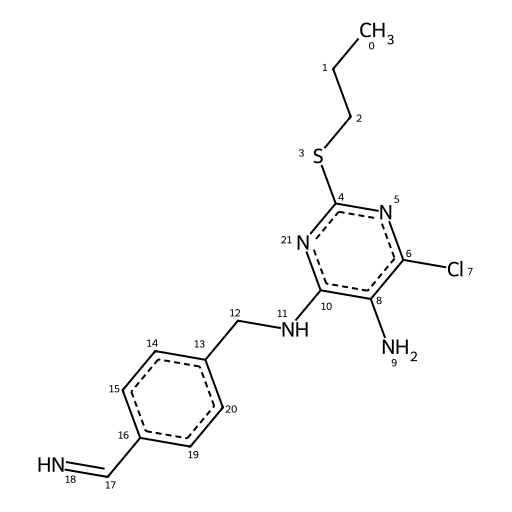 CCCSc1nc(Cl)c(N)c(NCc2ccc(C=N)cc2)n1